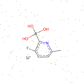 Cc1ccc(F)c([B-](O)(O)O)n1.[Li+]